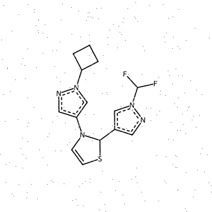 FC(F)n1cc(C2SC=CN2c2cnn(C3CCC3)c2)cn1